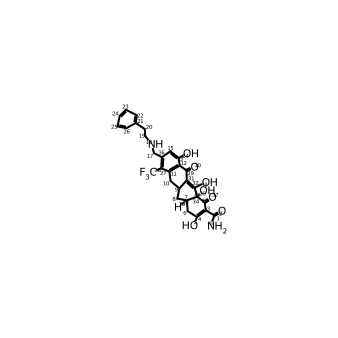 NC(=O)C1=C(O)C[C@@H]2CC3Cc4c(c(O)cc(CNCCc5ccccc5)c4C(F)(F)F)C(=O)C3=C(O)[C@]2(O)C1=O